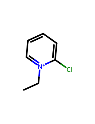 CC[n+]1ccccc1Cl